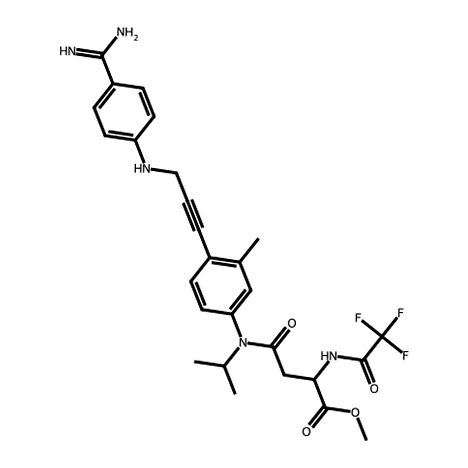 COC(=O)C(CC(=O)N(c1ccc(C#CCNc2ccc(C(=N)N)cc2)c(C)c1)C(C)C)NC(=O)C(F)(F)F